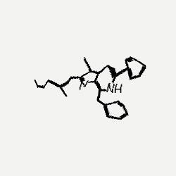 C/C=C\C=C(/C)CC1=NC2=C(Cc3ccccc3)NC(c3ccccc3)=CC2C1C